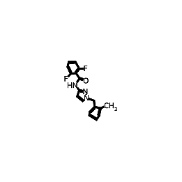 Cc1ccccc1Cn1ccc(NC(=O)c2c(F)cccc2F)n1